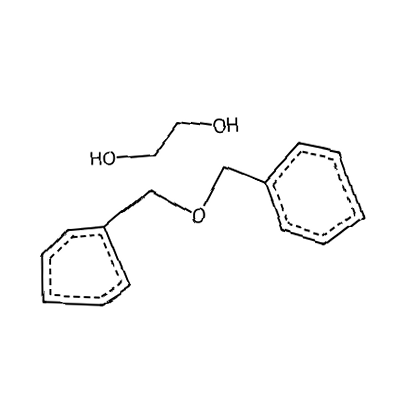 OCCO.c1ccc(COCc2ccccc2)cc1